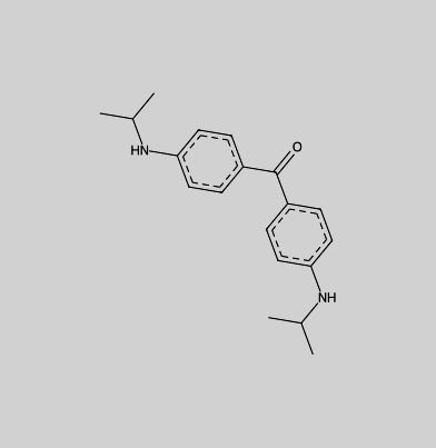 CC(C)Nc1ccc(C(=O)c2ccc(NC(C)C)cc2)cc1